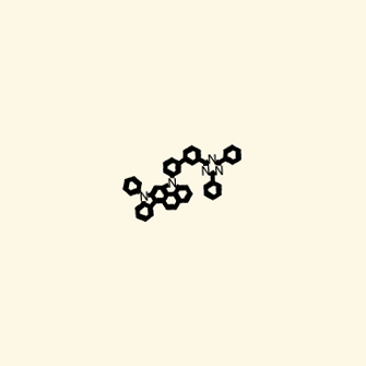 c1ccc(-c2nc(-c3ccccc3)nc(-c3cccc(-c4cccc(-n5c6cccc7ccc8c9c%10ccccc%10n(-c%10ccccc%10)c9cc5c8c76)c4)c3)n2)cc1